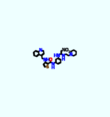 O=C(Nc1cccc(NC(=C[N+](=O)[O-])NCCN2CCCCC2)c1)c1sccc1NCc1ccnc2ccccc12